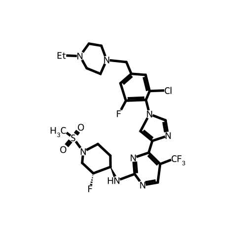 CCN1CCN(Cc2cc(F)c(-n3cnc(-c4nc(N[C@@H]5CCN(S(C)(=O)=O)C[C@H]5F)ncc4C(F)(F)F)c3)c(Cl)c2)CC1